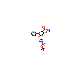 CC(C)(C)OC(=O)N1CC(Oc2cc3c(cc2-c2ccc(F)cc2)C(=O)NC3)C1